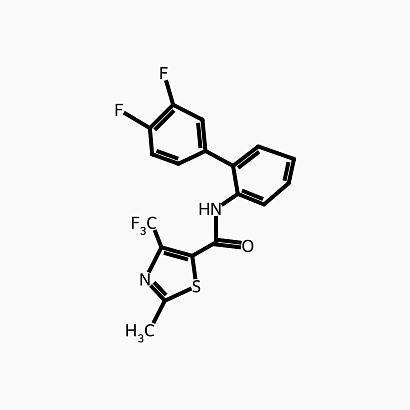 Cc1nc(C(F)(F)F)c(C(=O)Nc2ccccc2-c2ccc(F)c(F)c2)s1